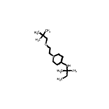 CCC(C)(C)NC1CCN(CCOCC(C)(C)C)CC1